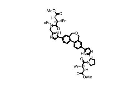 CCCN(Cc1ncc(-c2ccc3c(c2)COCc2cc(-c4cnc([C@@H]5CCCN5C(=O)[C@@H](NC(=O)OC)C(C)C)[nH]4)ccc2-3)[nH]1)C(=O)[C@@H](NC(=O)OC)C(C)C